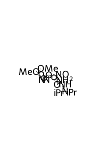 COc1cc2ncnc(Oc3ccc(NC(=O)NCCN(C(C)C)C(C)C)c([N+](=O)[O-])c3)c2cc1OC